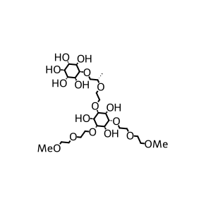 COCCOCCO[C@@H]1[C@@H](O)[C@H](OCCOCCOC)[C@@H](O)[C@@H](OCCO[C@@H](C)CO[C@@H]2[C@H](O)[C@@H](O)[C@H](O)[C@@H](O)[C@@H]2O)[C@H]1O